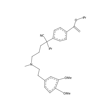 C=C(OC(C)C)c1ccc(C(C#N)(CCCN(C)CCc2ccc(OC)c(OC)c2)C(C)C)cc1